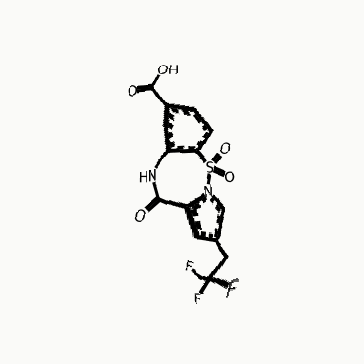 O=C(O)c1ccc2c(c1)NC(=O)c1cc(CC(F)(F)F)cn1S2(=O)=O